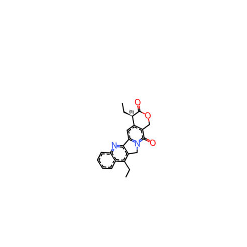 CCc1c2c(nc3ccccc13)-c1cc3c(c(=O)n1C2)COC(=O)[C@@H]3CC